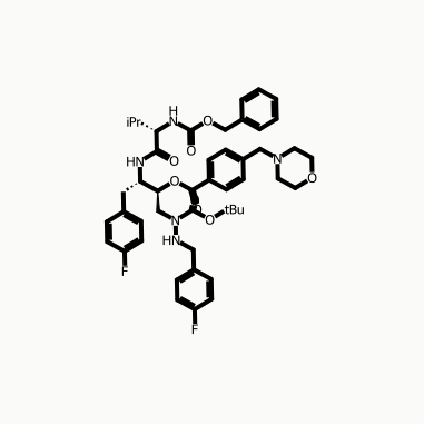 CC(C)[C@H](NC(=O)OCc1ccccc1)C(=O)N[C@@H](Cc1ccc(F)cc1)[C@H](CN(NCc1ccc(F)cc1)C(=O)OC(C)(C)C)OC(=O)c1ccc(CN2CCOCC2)cc1